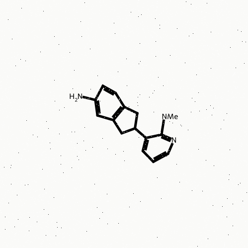 CNc1ncccc1C1Cc2ccc(N)cc2C1